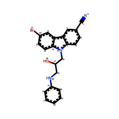 N#Cc1ccc2c(c1)c1cc(Br)ccc1n2CC(O)CNc1ccccc1